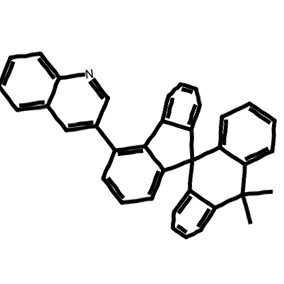 CC1(C)c2ccccc2C2(c3ccccc3-c3c(-c4cnc5ccccc5c4)cccc32)c2ccccc21